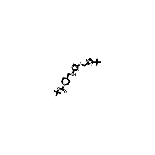 CC(C)(C)OC(=O)N1CCC(CNc2ncc(SCc3ncc(C(C)(C)C)o3)s2)CC1